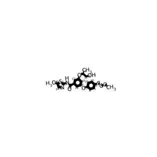 COOSc1ccc(Oc2cc(O[C@@H](C)CO)cc(C(=O)Nc3ncc(C)s3)c2)cc1